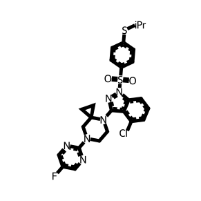 CC(C)Sc1ccc(S(=O)(=O)n2nc(N3CCN(c4ncc(F)cn4)CC34CC4)c3c(Cl)cccc32)cc1